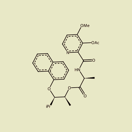 COc1ccnc(C(=O)N[C@@H](C)C(=O)O[C@@H](C)[C@H](Oc2cccc3ccccc23)C(C)C)c1OC(C)=O